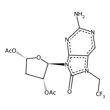 CC(=O)O[C@H]1C[C@@H](OC(C)=O)[C@H](n2c(=O)n(CC(F)(F)F)c3cnc(N)nc32)O1